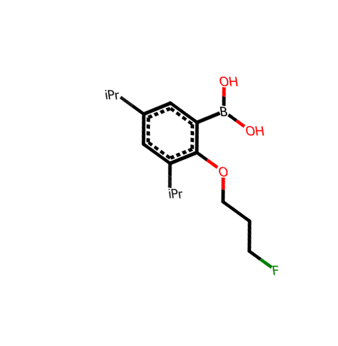 CC(C)c1cc(B(O)O)c(OCCCF)c(C(C)C)c1